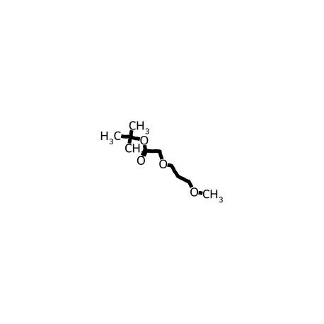 COCCCOCC(=O)OC(C)(C)C